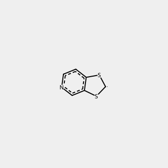 [CH]1Sc2ccncc2S1